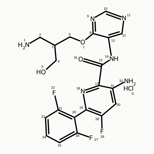 Cl.NCC(CO)COc1ncncc1NC(=O)c1nc(-c2c(F)cccc2F)c(F)cc1N